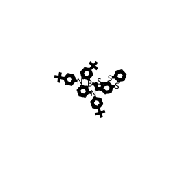 CC(C)(C)c1ccc(N2c3ccc(C(C)(C)C)cc3B3c4sc5c6c(ccc5c4N(c4ccc(C(C)(C)C)cc4)c4cccc2c43)Sc2ccccc2S6)cc1